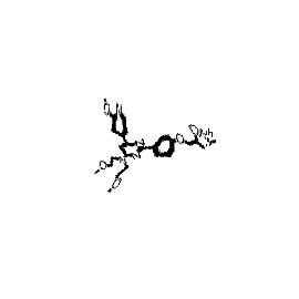 CNCC(O)COc1cccc(-c2nc(-c3ccnc(OC)c3)cc(N(CCOC)CCOC)n2)c1